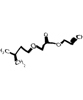 C=CCOC(=O)COCCC(=C)C